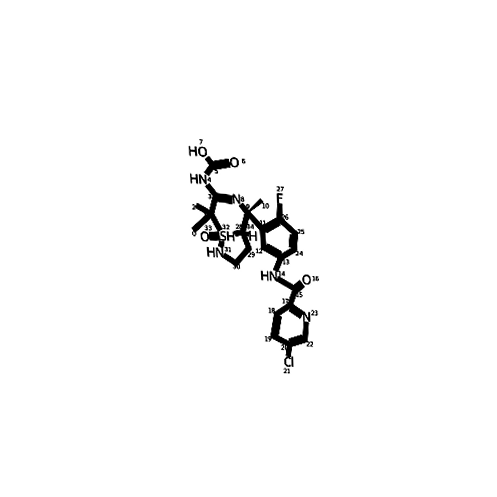 CC1(C)C(NC(=O)O)=N[C@](C)(c2cc(NC(=O)c3ccc(Cl)cn3)ccc2F)[C@@H]2CCN[SH]21=O